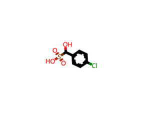 O=S(=O)(O)C(O)c1ccc(Cl)cc1